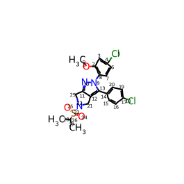 COc1cc(Cl)ccc1-n1nc2c(c1-c1ccc(Cl)cc1)CN(S(=O)(=O)C(C)C)C2